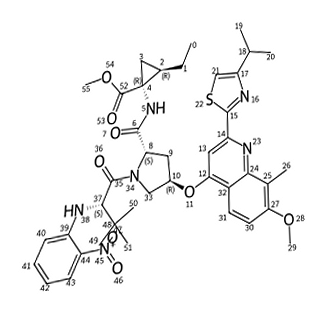 CC[C@@H]1C[C@]1(NC(=O)[C@@H]1C[C@@H](Oc2cc(-c3nc(C(C)C)cs3)nc3c(C)c(OC)ccc23)CN1C(=O)[C@@H](Nc1ccccc1[N+](=O)[O-])C(C)(C)C)C(=O)OC